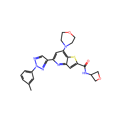 Cc1cccc(-n2ncc(-c3cc(N4CCOCC4)c4sc(C(=O)NC5COC5)cc4n3)n2)c1